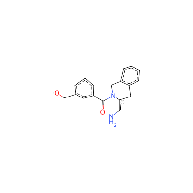 NC[C@@H]1Cc2ccccc2CN1C(=O)c1cccc(C[O])c1